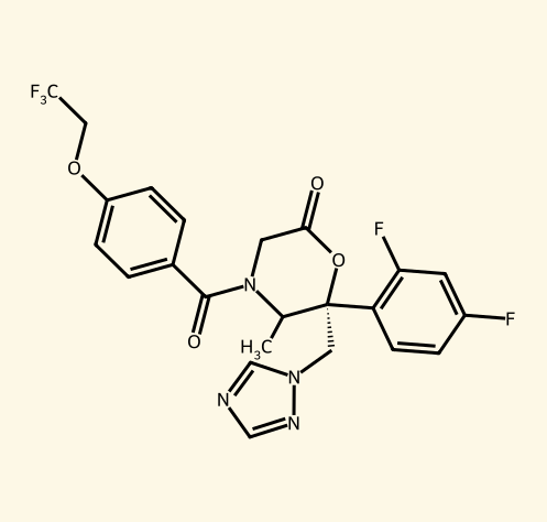 CC1N(C(=O)c2ccc(OCC(F)(F)F)cc2)CC(=O)O[C@@]1(Cn1cncn1)c1ccc(F)cc1F